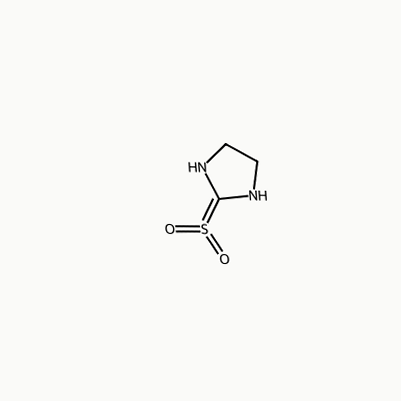 O=S(=O)=C1NCCN1